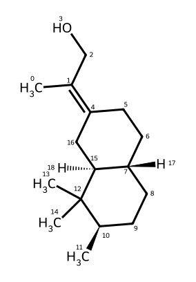 C/C(CO)=C1/CC[C@@H]2CC[C@@H](C)C(C)(C)[C@H]2C1